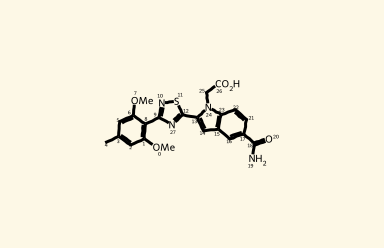 COc1cc(C)cc(OC)c1-c1nsc(-c2cc3cc(C(N)=O)ccc3n2CC(=O)O)n1